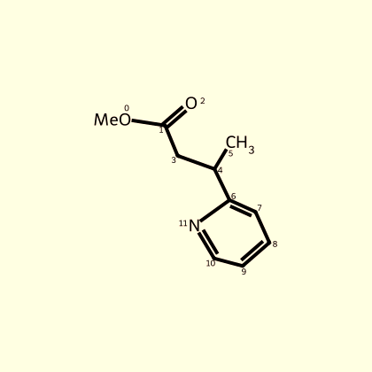 COC(=O)CC(C)c1ccccn1